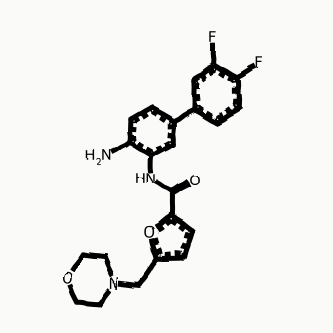 Nc1ccc(-c2ccc(F)c(F)c2)cc1NC(=O)c1ccc(CN2CCOCC2)o1